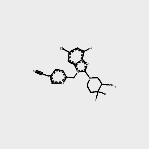 N#Cc1ccc(Cn2c(N3CCC(F)(F)C(N)C3)nc3c(Cl)cc(Cl)cc32)nc1